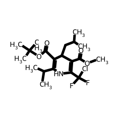 COC(=O)C1=C(C(F)(F)Cl)NC(C(C)C)=C(C(=O)OC(C)(C)C)C1CC(C)C